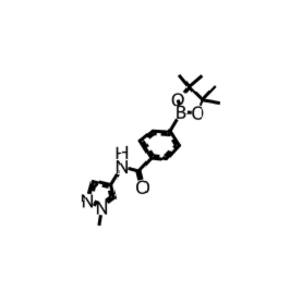 Cn1cc(NC(=O)c2ccc(B3OC(C)(C)C(C)(C)O3)cc2)cn1